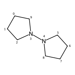 C1CCN(N2CCCC2)C1